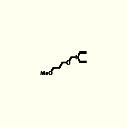 C=CN(C=C)COCCCOC